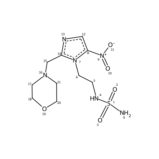 NS(=O)(=O)NCCn1c([N+](=O)[O-])cnc1CN1CCOCC1